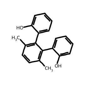 Cc1ccc(C)c(-c2ccccc2O)c1-c1ccccc1O